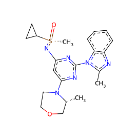 Cc1nc2ccccc2n1-c1nc(N=[S@](C)(=O)C2CC2)cc(N2CCOC[C@H]2C)n1